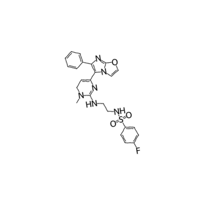 CN1CC=C(c2c(-c3ccccc3)nc3occn23)N=C1NCCNS(=O)(=O)c1ccc(F)cc1